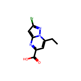 CCc1cc(C(=O)O)nc2cc(Br)nn12